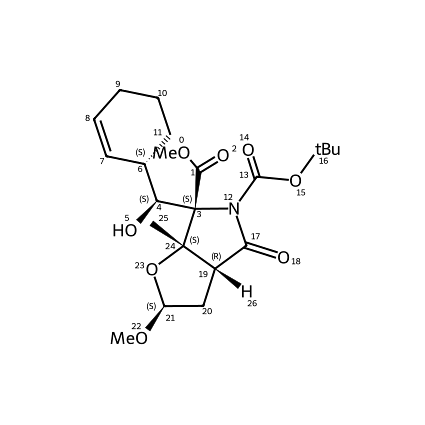 COC(=O)[C@@]1([C@@H](O)[C@@H]2C=CCCC2)N(C(=O)OC(C)(C)C)C(=O)[C@@H]2C[C@@H](OC)O[C@@]21C